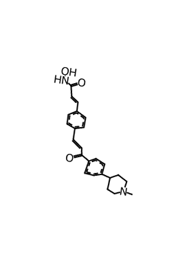 CN1CCC(c2ccc(C(=O)/C=C/c3ccc(/C=C/C(=O)NO)cc3)cc2)CC1